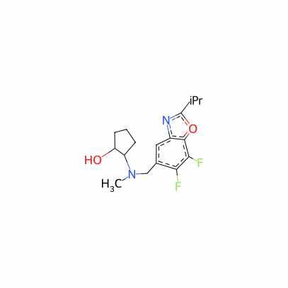 CC(C)c1nc2cc(CN(C)C3CCCC3O)c(F)c(F)c2o1